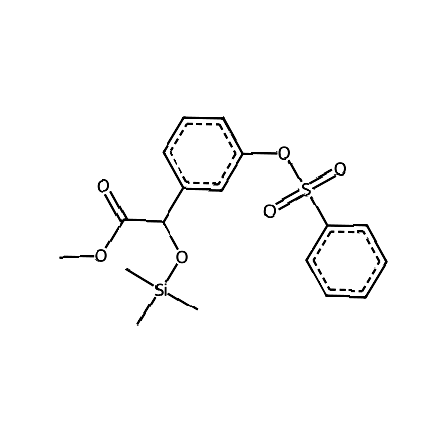 COC(=O)C(O[Si](C)(C)C)c1cccc(OS(=O)(=O)c2ccccc2)c1